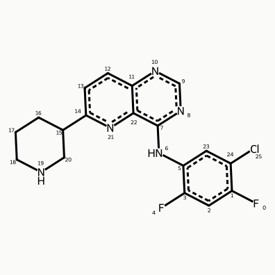 Fc1cc(F)c(Nc2ncnc3ccc(C4CCCNC4)nc23)cc1Cl